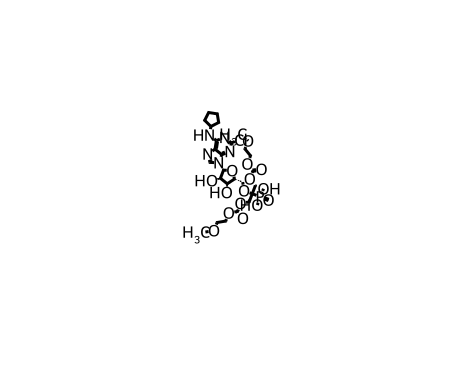 COCCOC(=O)OCC(COC(=O)OCCOC)(OC[C@H]1O[C@@H](n2cnc3c(NC4CCCC4)nc(Cl)nc32)[C@H](O)[C@@H]1O)P(=O)(O)O